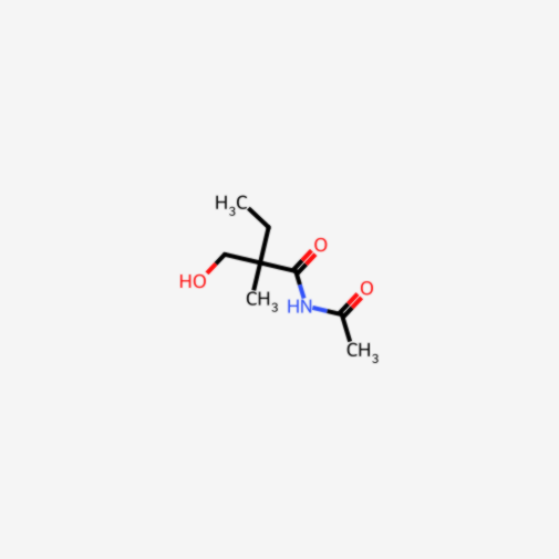 CCC(C)(CO)C(=O)NC(C)=O